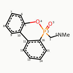 CNCP1(=O)Oc2ccccc2-c2ccccc21